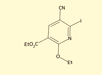 CCOC(=O)c1cc(C#N)c(I)nc1OCC